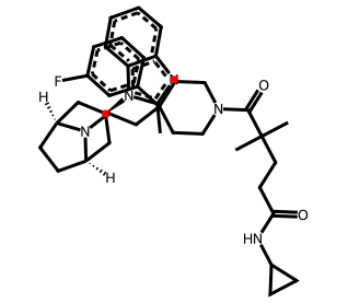 Cc1nc2ccccc2n1[C@H]1C[C@H]2CC[C@@H](C1)N2CCC1(c2cccc(F)c2)CCN(C(=O)C(C)(C)CCC(=O)NC2CC2)CC1